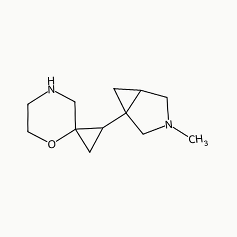 CN1CC2CC2(C2CC23CNCCO3)C1